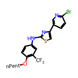 CCCCCOc1ccc(Nc2nc(-c3ccc(Br)nc3)cs2)cc1C(F)(F)F